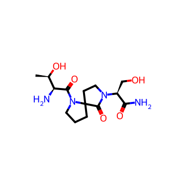 C[C@@H](O)[C@H](N)C(=O)N1CCCC12CCN([C@@H](CO)C(N)=O)C2=O